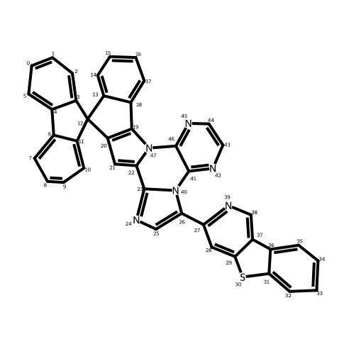 c1ccc2c(c1)-c1ccccc1C21c2ccccc2-c2c1cc1c3ncc(-c4cc5sc6ccccc6c5cn4)n3c3nccnc3n21